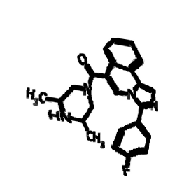 CC1CN(C(=O)c2cn3c(-c4ccc(F)cc4)ncc3c3ccccc23)CC(C)N1